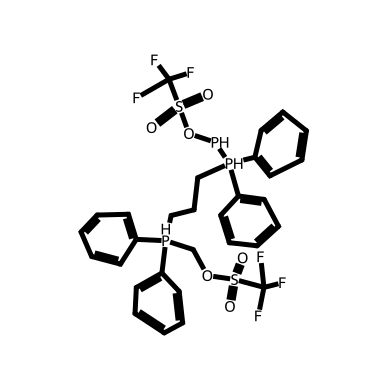 O=S(=O)(OC[PH](CCC[PH](POS(=O)(=O)C(F)(F)F)(c1ccccc1)c1ccccc1)(c1ccccc1)c1ccccc1)C(F)(F)F